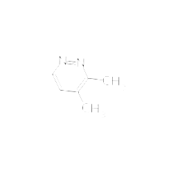 Cc1ccnnc1C